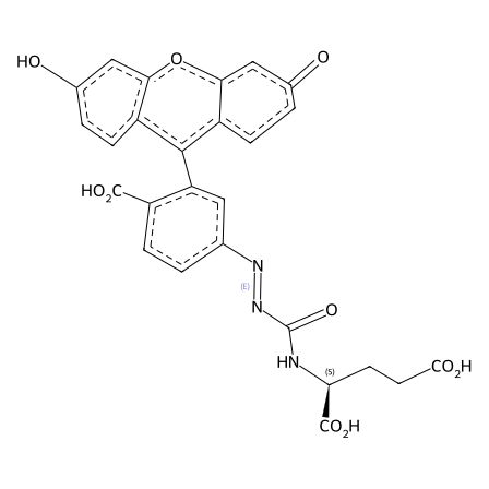 O=C(O)CC[C@H](NC(=O)/N=N/c1ccc(C(=O)O)c(-c2c3ccc(=O)cc-3oc3cc(O)ccc23)c1)C(=O)O